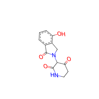 O=C1CCNC(=O)C1N1Cc2c(O)cccc2C1=O